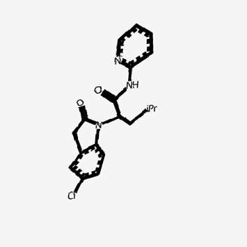 CC(C)CC(C(=O)Nc1ccccn1)N1C(=O)Cc2cc(Cl)ccc21